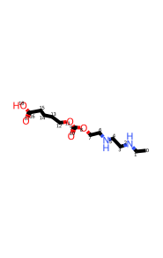 CCNCCNCCOC(=O)OCCCCC(=O)O